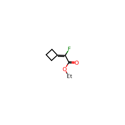 CCOC(=O)C(F)=C1CCC1